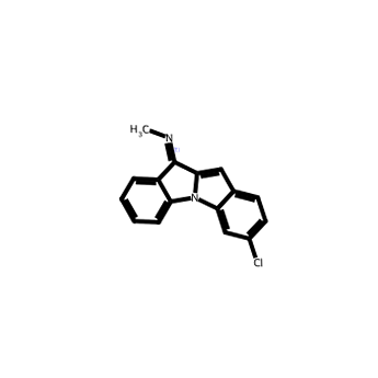 C/N=C1\c2ccccc2-n2c1cc1ccc(Cl)cc12